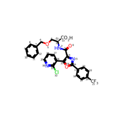 O=C(N[C@@H](COCc1ccccc1)C(=O)O)c1nc(-c2ccc(C(F)(F)F)cc2)oc1-c1cccnc1Cl